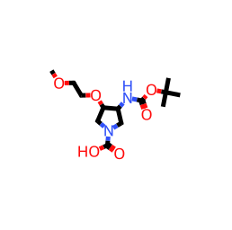 COCCOC1CN(C(=O)O)CC1NC(=O)OC(C)(C)C